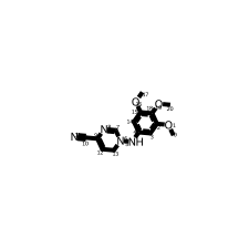 COc1cc(NN2C=NC(C#N)=CC2)cc(OC)c1OC